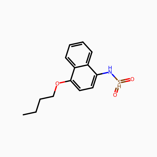 CCCCOc1ccc(N[SH](=O)=O)c2ccccc12